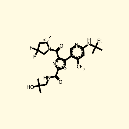 CCC(C)(C)Nc1cc(C(F)(F)F)c(-c2sc(C(=O)NCC(C)(C)O)nc2C(=O)N2CC(F)(F)C[C@@H]2C)cn1